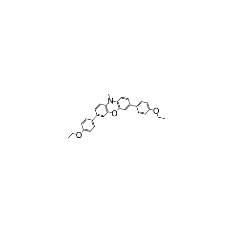 CCOc1ccc(-c2ccc3c(c2)Oc2cc(-c4ccc(OCC)cc4)ccc2N3C)cc1